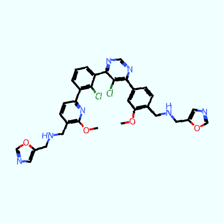 COc1cc(-c2ncnc(-c3cccc(-c4ccc(CNCc5cnco5)c(OC)n4)c3Cl)c2Cl)ccc1CNCc1cnco1